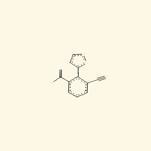 N#Cc1cccc(C(N)=O)c1-c1cc[nH]n1